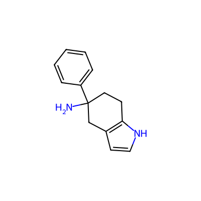 NC1(c2ccccc2)CCc2[nH]ccc2C1